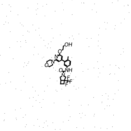 Cc1ccc(NC(=O)N2CC3CCC3(C(F)(F)F)C2)cc1-c1cc(OCCO)nc(N2CCOCC2)c1